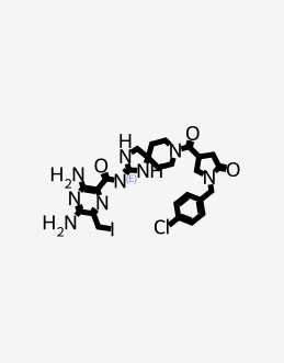 Nc1nc(N)c(C(=O)/N=C2\NCC3(CCN(C(=O)C4CC(=O)N(Cc5ccc(Cl)cc5)C4)CC3)N2)nc1CI